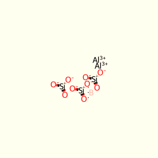 O=[Si]([O-])[O-].O=[Si]([O-])[O-].O=[Si]([O-])[O-].[Al+3].[Al+3].[B]